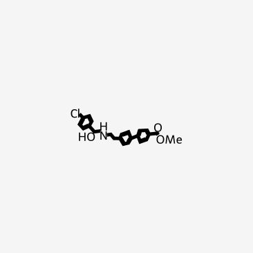 COC(=O)c1ccc(-c2ccc(CCNC[C@H](O)c3ccc(Cl)cc3)cc2)cc1